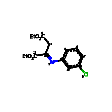 CCOC(=O)CC(=Nc1cccc(Cl)c1)C(=O)OCC